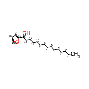 CCCCCCCCCCCCCCC(O)c1ccco1